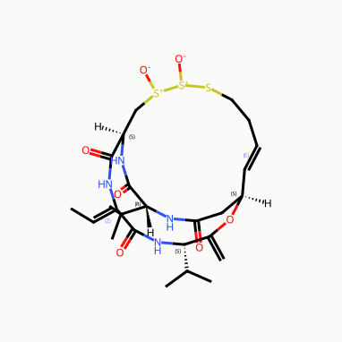 C=C1O[C@@H]2/C=C/CCS[S+]([O-])[S+]([O-])C[C@@H](NC(=O)[C@@H](C(C)C)NC(=O)C2)C(=O)N/C(=C\C)C(=O)N[C@H]1C(C)C